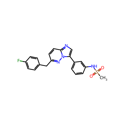 CS(=O)(=O)Nc1cccc(-c2cnc3ccc(Cc4ccc(F)cc4)nn23)c1